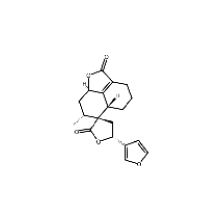 C[C@@H]1C[C@H]2OC(=O)C3=C2[C@H](CCC3)[C@@]12C[C@H](c1ccoc1)OC2=O